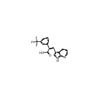 O=C(O)C(=Cc1c[nH]c2ncccc12)c1cccc(C(F)(F)F)c1